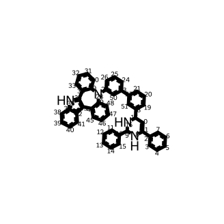 C1=C(c2ccccc2)NC(c2ccccc2)NC1c1cccc(-c2cccc(N3c4ccccc4-c4[nH]c5ccccc5c4-c4ccccc43)c2)c1